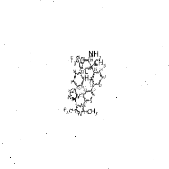 Cc1nc(C(F)(F)F)cn1-c1ccc(-c2cccc(C(C)(C)C(N)=O)c2)cc1-n1nncc1-c1ccc(OC(F)(F)F)cc1